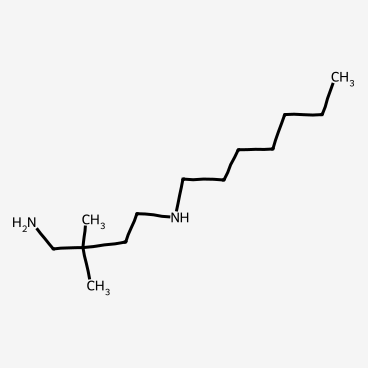 CCCCCCCNCCC(C)(C)CN